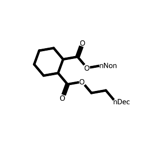 CCCCCCCCCCCCOC(=O)C1CCCCC1C(=O)OCCCCCCCCC